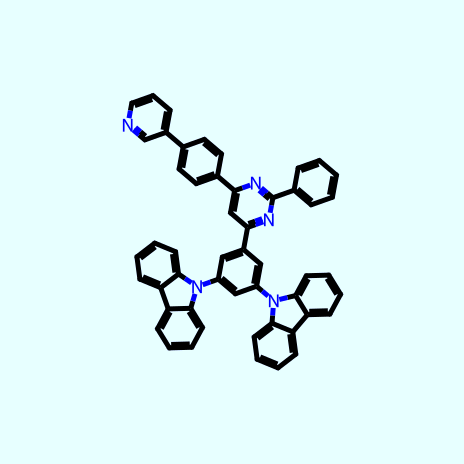 c1ccc(-c2nc(-c3ccc(-c4cccnc4)cc3)cc(-c3cc(-n4c5ccccc5c5ccccc54)cc(-n4c5ccccc5c5ccccc54)c3)n2)cc1